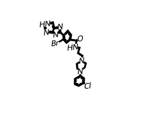 O=C(NCCCN1CCN(c2cccc(Cl)c2)CC1)c1ccc(-c2nc3c[nH]cnc-3n2)c(Br)c1